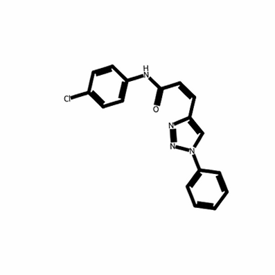 O=C(/C=C\c1cn(-c2ccccc2)nn1)Nc1ccc(Cl)cc1